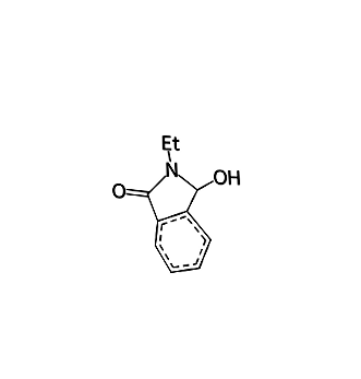 CCN1C(=O)c2ccccc2C1O